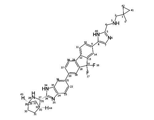 CC1(CNCc2ncc(-c3ccc4c(c3)C(F)(F)c3cc(-c5ccc6nc([C@H]7N[C@@H]8CC[C@H]7C8)[nH]c6c5)ccc3-4)[nH]2)CC1